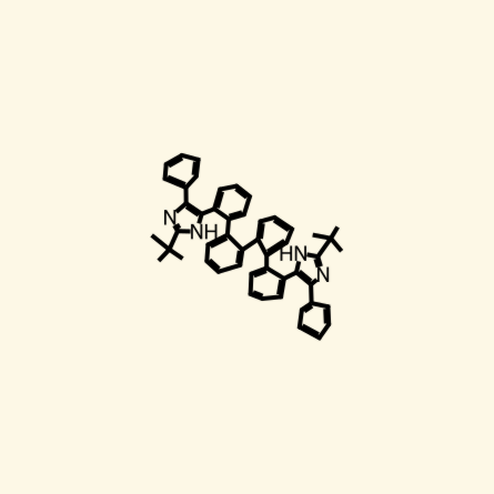 CC(C)(C)c1nc(-c2ccccc2)c(-c2ccccc2-c2ccccc2-c2ccccc2-c2ccccc2-c2[nH]c(C(C)(C)C)nc2-c2ccccc2)[nH]1